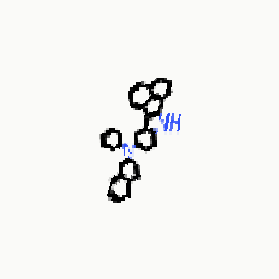 c1ccc(N(c2ccc3ccccc3c2)c2ccc3[nH]c4c(c3c2)-c2cccc3cccc-4c23)cc1